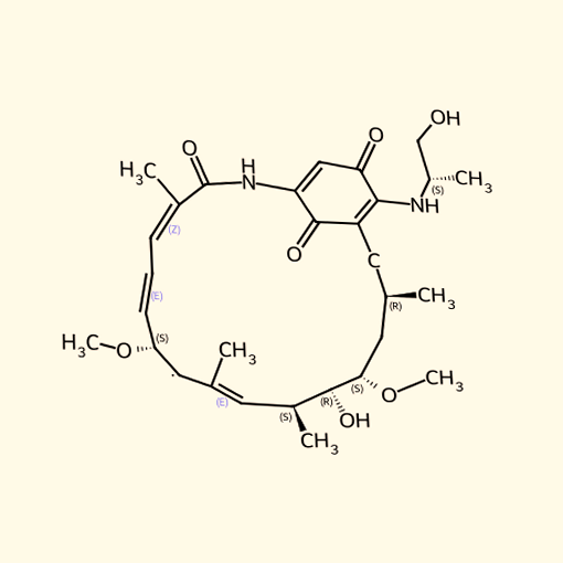 CO[C@H]1C[C@H](C)CC2=C(N[C@@H](C)CO)C(=O)C=C(NC(=O)/C(C)=C\C=C\[C@@H](OC)[CH]/C(C)=C/[C@H](C)[C@H]1O)C2=O